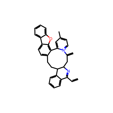 C=CC1=NC2CC(=C)[n+]3ccc(C)cc3-c3c(ccc4c3oc3ccccc34)CCC2c2ccccc21